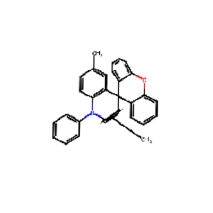 Cc1ccc2c(c1)C1(c3ccccc3Oc3ccccc31)c1cc(C)ccc1N2c1ccccc1